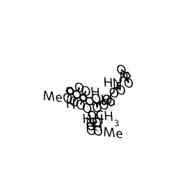 COc1cccc2c1C(=O)c1c(O)c3c(c(O)c1C2=O)C[C@@](O)(C(=O)COC1CCCC(COCC(=O)NCCN2C(=O)CCC2=O)O1)C[C@@H]3O[C@@H]1C[C@@H](C)[C@H]2O[C@@H]3[C@@H](OC)OCCN3[C@H]2C1